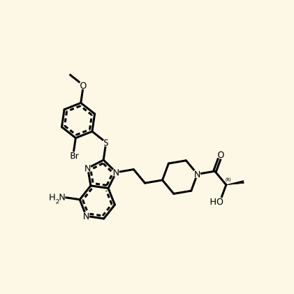 COc1ccc(Br)c(Sc2nc3c(N)nccc3n2CCC2CCN(C(=O)[C@@H](C)O)CC2)c1